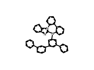 c1ccc(-c2cccc(-c3cc(-c4ccccc4)cc(N4c5ccccc5-c5ccccc5-n5c4nc4ccccc45)c3)c2)cc1